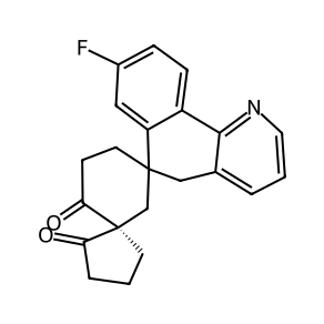 O=C1CCC[C@]12CC1(CCC2=O)Cc2cccnc2-c2ccc(F)cc21